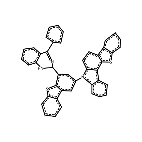 c1ccc(C2=NC(c3cc(-n4c5ccccc5c5c6sc7ccccc7c6ccc54)cc4c3sc3ccccc34)Nc3ccccc32)cc1